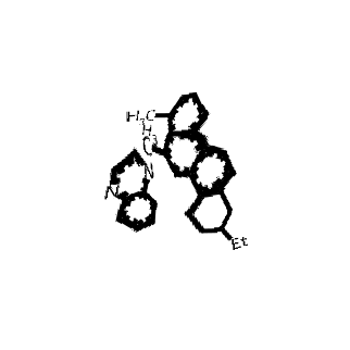 CCC1CCc2c(ccc3c2cc(C)c2c(C)cccc23)C1.c1ccc2nccnc2c1